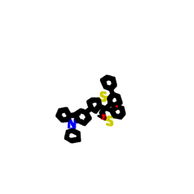 C1=CCCC(n2c3ccccc3c3cc(-c4ccc5c(c4)C4(c6ccccc6Sc6ccccc64)c4cccc(-c6ccccc6)c4S5)ccc32)=C1